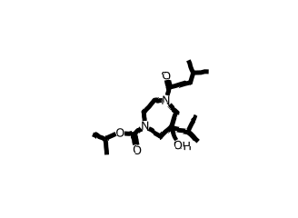 CC(C)CC(=O)N1CCN(C(=O)OC(C)C)CC(O)(C(C)C)C1